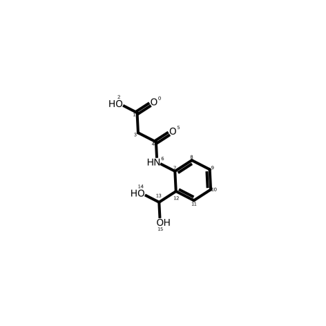 O=C(O)CC(=O)Nc1ccccc1C(O)O